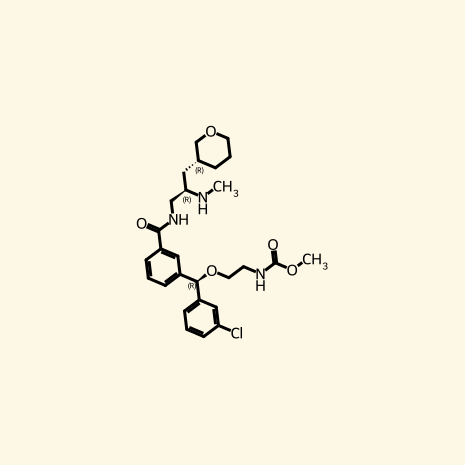 CN[C@@H](CNC(=O)c1cccc([C@@H](OCCNC(=O)OC)c2cccc(Cl)c2)c1)C[C@H]1CCCOC1